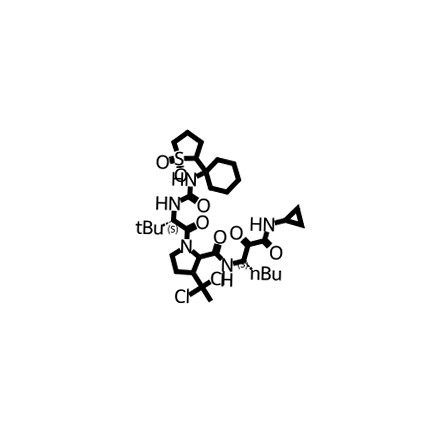 CCCC[C@H](NC(=O)C1C(C(C)(Cl)Cl)CCN1C(=O)[C@@H](NC(=O)NC1(C2CCCS2(=O)=O)CCCCC1)C(C)(C)C)C(=O)C(=O)NC1CC1